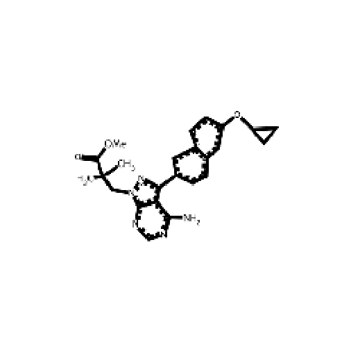 COC(=O)C(C)(C)Cn1nc(-c2ccc3cc(OC4CC4)ccc3c2)c2c(N)ncnc21